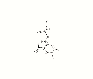 CCOC(=O)CNc1nc(C)c(C)cc1[N+](=O)[O-]